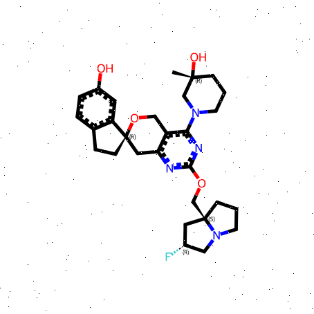 C[C@@]1(O)CCCN(c2nc(OC[C@@]34CCCN3C[C@H](F)C4)nc3c2CO[C@]2(CCc4ccc(O)cc42)C3)C1